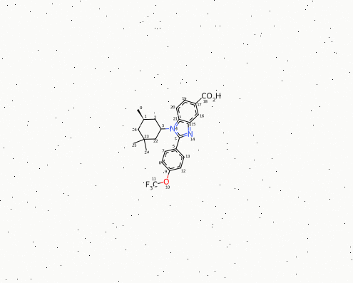 C[C@H]1CC(n2c(-c3ccc(OC(F)(F)F)cc3)nc3cc(C(=O)O)ccc32)CC(C)(C)C1